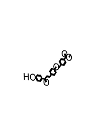 COC(=O)c1ccc(COc2ccc(/C=C/C(=O)c3ccc(O)cc3)cc2)cc1